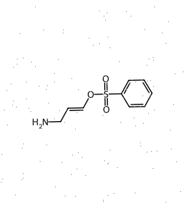 NCC=COS(=O)(=O)c1ccccc1